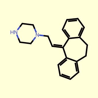 C(CN1CCNCC1)=C1c2ccccc2CCc2ccccc21